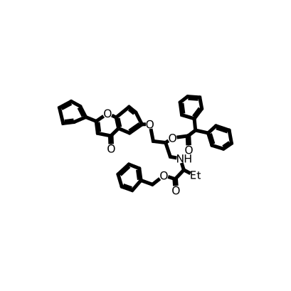 CCC(NCC(COc1ccc2oc(-c3ccccc3)cc(=O)c2c1)OC(=O)C(c1ccccc1)c1ccccc1)C(=O)OCc1ccccc1